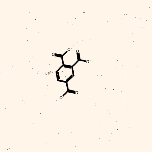 O=C([O-])c1ccc(C(=O)[O-])c(C(=O)[O-])c1.[La+3]